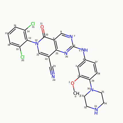 COc1cc(Nc2ncc3c(=O)n(-c4c(Cl)cccc4Cl)cc(C#N)c3n2)ccc1N1CCNCC1